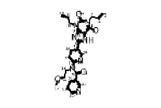 C=CCn1c(=O)c2[nH]c(-c3ccc(N(CCOC)C(=O)c4cccnc4)nc3)nc2n(CC=C)c1=O